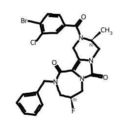 C[C@H]1Cn2c(c3n(c2=O)C[C@@H](F)CN(Cc2ccccc2)C3=O)CN1C(=O)c1ccc(Br)c(Cl)c1